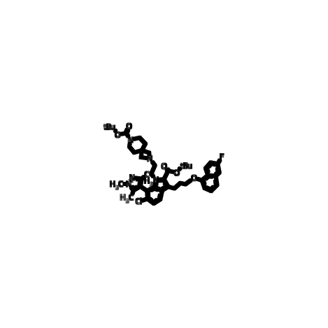 Cc1nn(C)c(C)c1-c1c(Cl)ccc2c(CCCOc3cccc4cc(F)ccc34)c(C(=O)OC(C)(C)C)n(CCN3CC4(CCN(C(=O)OC(C)(C)C)CC4)C3)c12